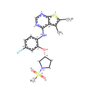 Cc1c(C(=O)O)sc2ncnc(Nc3ccc(F)cc3O[C@@H]3CCN(S(C)(=O)=O)C3)c12